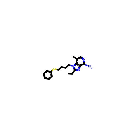 CCc1nc2c(N)ncc(C)c2n1CCCCSc1ccccc1